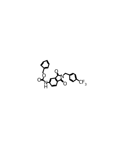 O=C(Nc1ccc2c(c1)C(=O)N(Cc1ccc(C(F)(F)F)cc1)C2=O)OCc1ccccc1